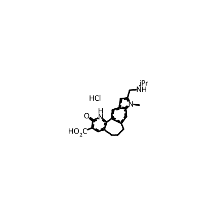 CC(C)NCc1cc2cc3c(cc2n1C)CCCc1cc(C(=O)O)c(=O)[nH]c1-3.Cl